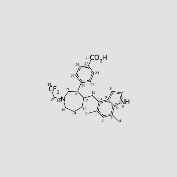 Cc1cc(C)c2[nH]ccc2c1CC1CCCN(CC(F)(F)F)CC1c1ccc(C(=O)O)cc1